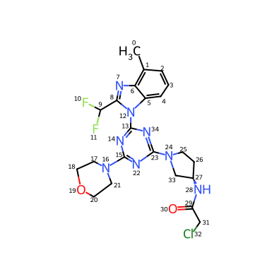 Cc1cccc2c1nc(C(F)F)n2-c1nc(N2CCOCC2)nc(N2CC[C@@H](NC(=O)CCl)C2)n1